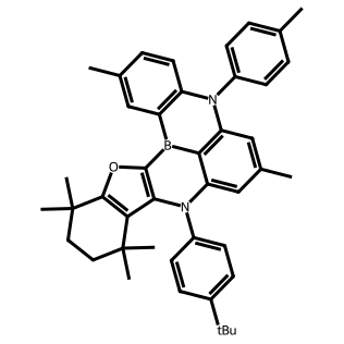 Cc1ccc(N2c3ccc(C)cc3B3c4oc5c(c4N(c4ccc(C(C)(C)C)cc4)c4cc(C)cc2c43)C(C)(C)CCC5(C)C)cc1